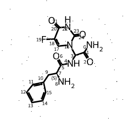 NC(=O)C(NC(=O)[C@@H](N)Cc1ccccc1)n1cc(F)c(=O)[nH]c1=O